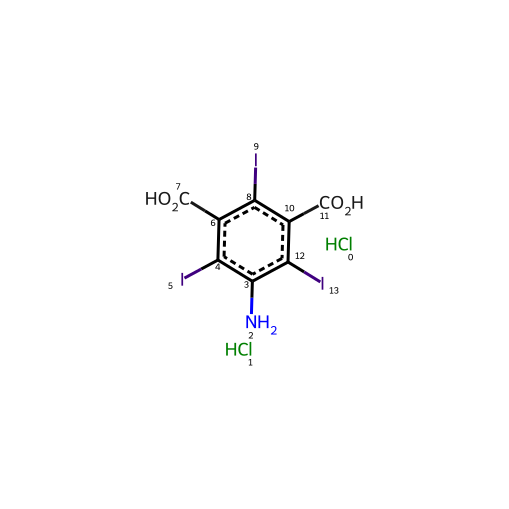 Cl.Cl.Nc1c(I)c(C(=O)O)c(I)c(C(=O)O)c1I